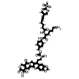 CCN(CCc1c2c(nc3cc4c(cc13)OCO4)-c1cc3c(c(=O)n1C2)COC(=O)[C@]3(O)CC)C(=O)OCc1ccc(NC(=O)C(CCCCN)NC(=O)CCCC#Cc2cnc(S(C)(=O)=O)nc2)cc1